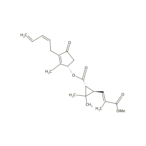 C=C/C=C\CC1=C(C)[C@@H](OC(=O)[C@@H]2[C@@H](/C=C(\C)C(=O)OC)C2(C)C)CC1=O